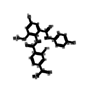 COc1cc(Cl)cc(C(=O)Nc2ccc(Cl)cn2)c1NC(=O)c1ccc(C(=N)N)cc1F